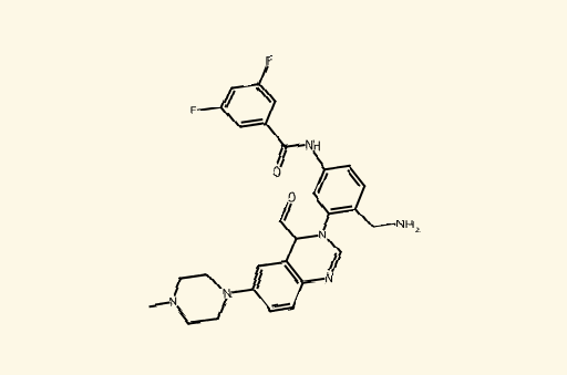 CN1CCN(c2ccc3c(c2)C(C=O)N(c2cc(NC(=O)c4cc(F)cc(F)c4)ccc2CN)C=N3)CC1